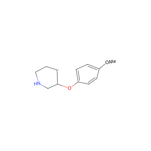 COc1ccc(OC2[CH]CCNC2)cc1